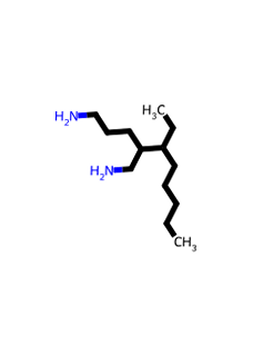 CCCCCC(CC)C(CN)CCCN